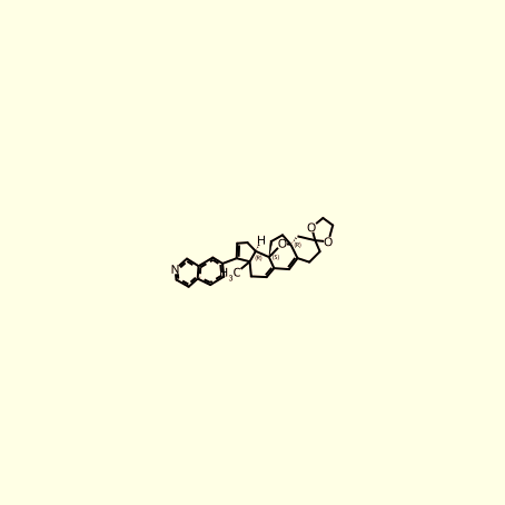 CC12CC=C3C=C4CCC5(C[C@]46CC[C@]3(O6)[C@@H]1CC=C2c1ccc2ccncc2c1)OCCO5